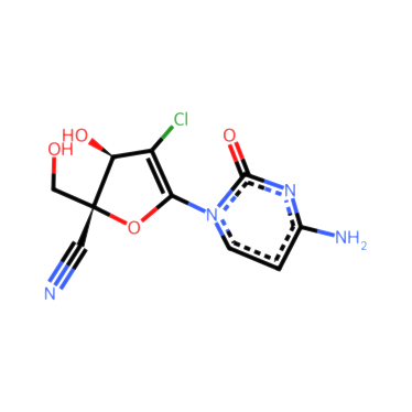 N#C[C@]1(CO)OC(n2ccc(N)nc2=O)=C(Cl)[C@@H]1O